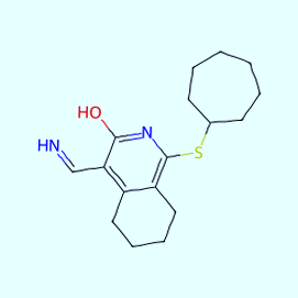 N=Cc1c(O)nc(SC2CCCCCC2)c2c1CCCC2